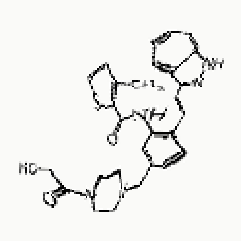 Cc1ccsc1C(=O)Nc1cc(CN2CCN(C(=O)CO)CC2)ccc1C=Cc1n[nH]c2ccccc12